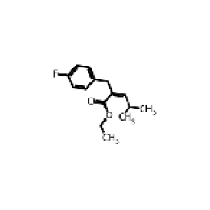 CCOC(=O)C(=CC(C)C)Cc1ccc(F)cc1